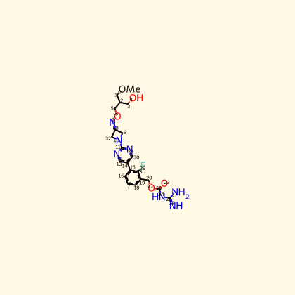 COCC(CO)CON=C1CN(c2ncc(-c3cccc(COC(=O)NC(=N)N)c3F)cn2)C1